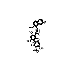 CCc1ccc2ccc(F)cc2c1CNC(=O)c1c(OC)cc(O)c2c1OC1=CC(O)=C(C(C)=O)C(=O)[C@]12C